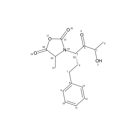 CC(O)C(=O)[C@H](CCc1ccccc1)N1C(=O)OC(=O)C1C